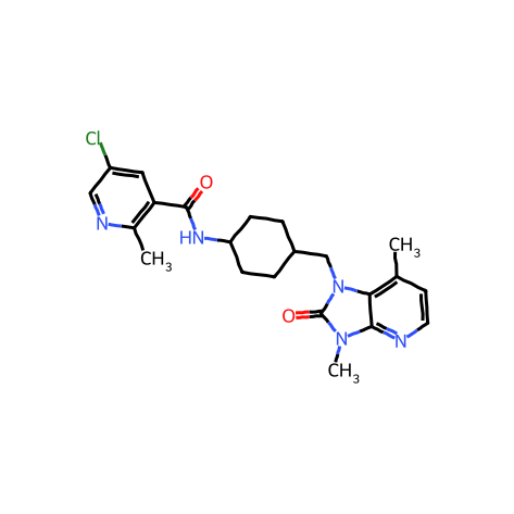 Cc1ncc(Cl)cc1C(=O)NC1CCC(Cn2c(=O)n(C)c3nccc(C)c32)CC1